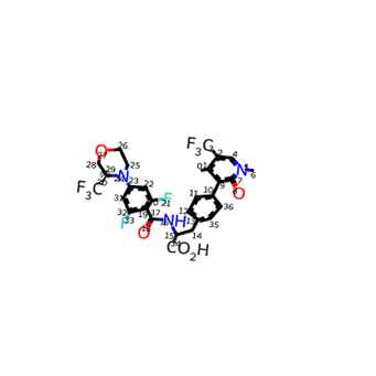 Cc1c(C(F)(F)F)cn(C)c(=O)c1-c1ccc(CC(NC(=O)c2c(F)cc(N3CCOC[C@@H]3C(F)(F)F)cc2F)C(=O)O)cc1